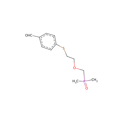 CP(C)(=O)COCCSc1ccc(C=O)cc1